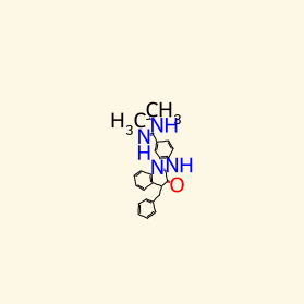 CC(C)NC(=N)c1ccc2[nH]c(C(=O)C(Cc3ccccc3)c3ccccc3)nc2c1